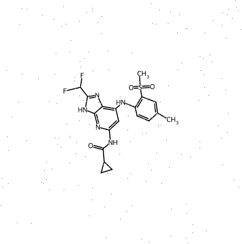 Cc1ccc(Nc2cc(NC(=O)C3CC3)nc3[nH]c(C(F)F)nc23)c(S(C)(=O)=O)c1